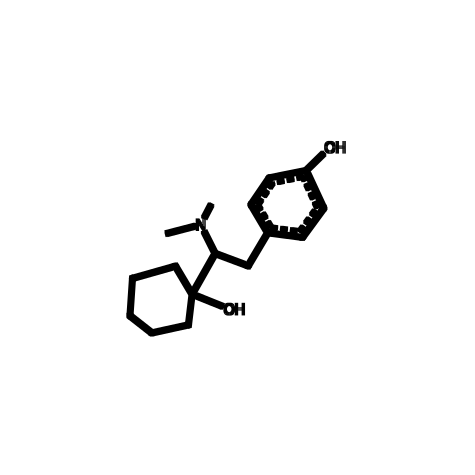 CN(C)C(Cc1ccc(O)cc1)C1(O)CCCCC1